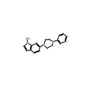 Cn1ccc2ccc(N3CCN(c4ccccc4)CC3)cc21